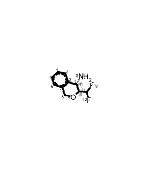 N[C@H]1c2ccccc2COC1C(F)F